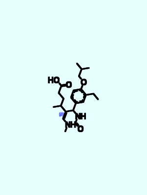 CCc1cc(C(NC=O)/C(=C\NC)C(C)CCC(=O)O)ccc1OCC(C)C